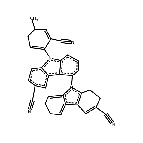 CC1C=C(C#N)C(n2c3ccc(C#N)cc3c3c(-n4c5c(c6c4=CCCC=6)C=C(C#N)CC5)cccc32)=CC1